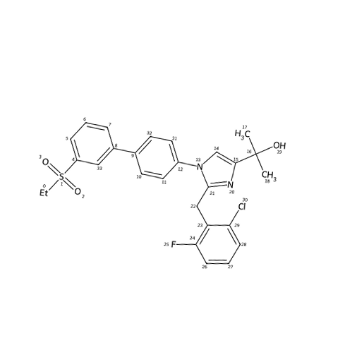 CCS(=O)(=O)c1cccc(-c2ccc(-n3cc(C(C)(C)O)nc3Cc3c(F)cccc3Cl)cc2)c1